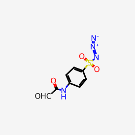 [N-]=[N+]=NS(=O)(=O)c1ccc(NC(=O)C=O)cc1